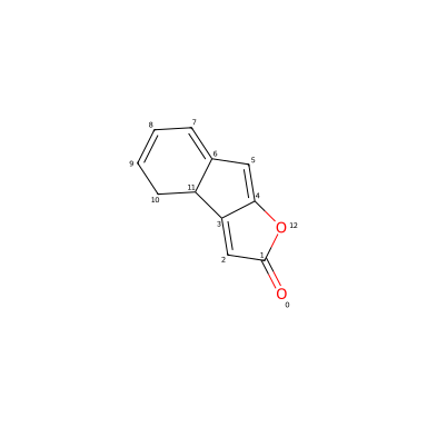 O=C1C=C2C(=CC3=CC=CCC32)O1